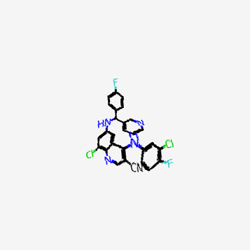 N#Cc1cnc2c(Cl)cc(NC(c3ccc(F)cc3)c3cccnc3)cc2c1Nc1ccc(F)c(Cl)c1